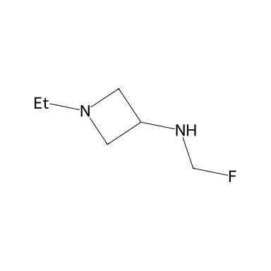 CCN1CC(NCF)C1